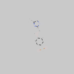 CS(=O)(=O)c1ccc(OCc2nc([N+](=O)[O-])c[nH]2)cc1